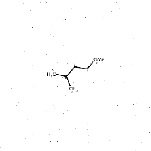 [CH2]C(C)CCOC